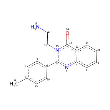 Cc1ccc(-c2nc3ccccc3c(=O)n2CCN)cc1